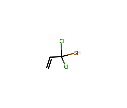 C=CC(S)(Cl)Cl